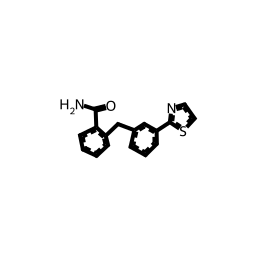 NC(=O)c1ccccc1Cc1cccc(-c2nccs2)c1